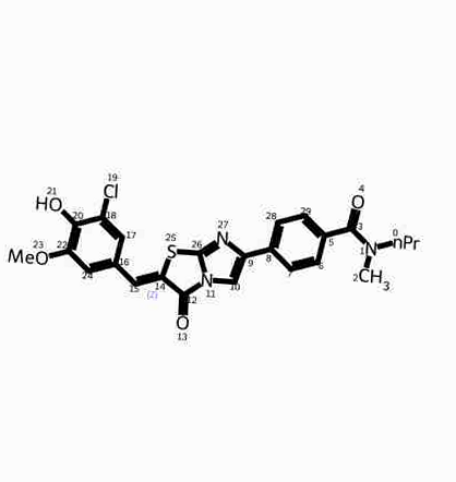 CCCN(C)C(=O)c1ccc(-c2cn3c(=O)/c(=C/c4cc(Cl)c(O)c(OC)c4)sc3n2)cc1